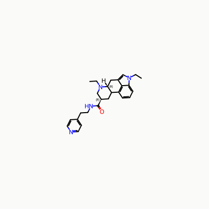 CCN1C[C@H](C(=O)NCCc2ccncc2)CC2c3cccc4c3c(cn4CC)C[C@H]21